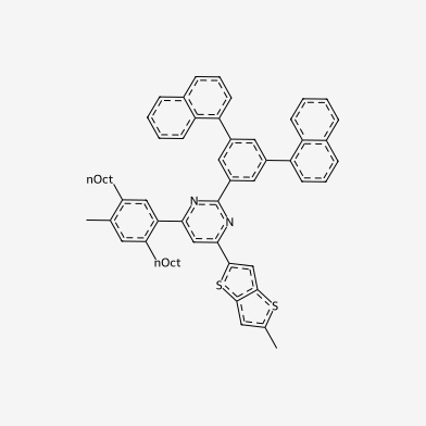 CCCCCCCCc1cc(-c2cc(-c3cc4sc(C)cc4s3)nc(-c3cc(-c4cccc5ccccc45)cc(-c4cccc5ccccc45)c3)n2)c(CCCCCCCC)cc1C